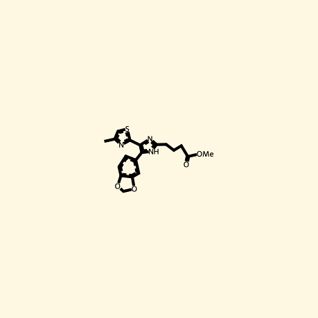 COC(=O)CCCc1nc(-c2nc(C)cs2)c(-c2ccc3c(c2)OCO3)[nH]1